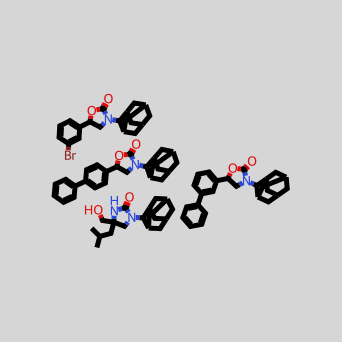 CC(C)CC1(CO)CN(C2C3CC4CC(C3)CC2C4)C(=O)N1.O=C1OC(c2ccc(-c3ccccc3)cc2)CN1C1C2CC3CC(C2)CC1C3.O=C1OC(c2cccc(-c3ccccc3)c2)CN1C1C2CC3CC(C2)CC1C3.O=C1OC(c2cccc(Br)c2)CN1C1C2CC3CC(C2)CC1C3